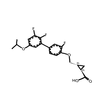 CC(C)Oc1cc(F)c(F)c(-c2ccc(OC[C@@H]3C[C@H]3C(=O)O)c(F)c2)c1